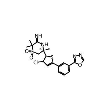 CC1(C)C(=N)N[C@](C)(C2SC(c3cccc(-c4nnco4)c3)=CC2Cl)CS1(=O)=O